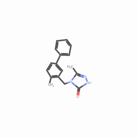 Cc1ccc(-c2ccccc2)cc1Cn1c(C)n[nH]c1=O